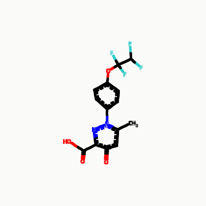 Cc1cc(=O)c(C(=O)O)nn1-c1ccc(OC(F)(F)C(F)F)cc1